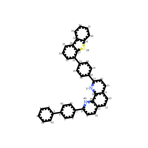 c1ccc(-c2ccc(-c3ccc4ccc5ccc(-c6ccc(-c7cccc8c7sc7ccccc78)cc6)nc5c4n3)cc2)cc1